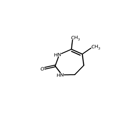 CC1=C(C)NC(=O)NCC1